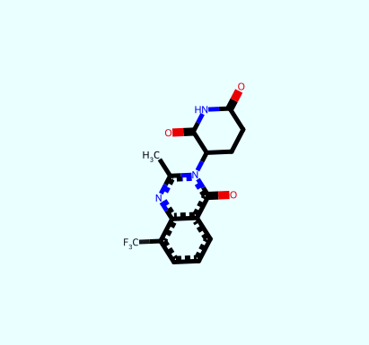 Cc1nc2c(C(F)(F)F)cccc2c(=O)n1C1CCC(=O)NC1=O